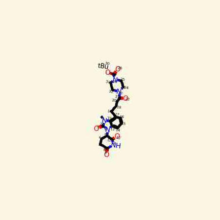 Cn1c(=O)n(C2CCC(=O)NC2=O)c2cccc(CCCC(=O)N3CCN(C(=O)OC(C)(C)C)CC3)c21